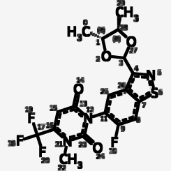 C[C@H]1OC(c2nsc3cc(F)c(-n4c(=O)cc(C(F)(F)F)n(C)c4=O)cc23)O[C@@H]1C